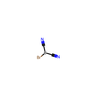 N#CB(Br)C#N